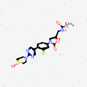 COC(=O)NCC1CN(c2ccc(-c3cnc(N4CC[S+]([O-])CC4)nc3)c(F)c2)C(=O)O1